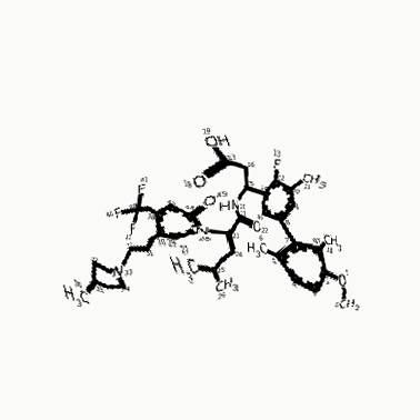 COc1ccc(C)c(-c2cc(C)c(F)c(C(CC(=O)O)NC(=O)C(CC(C)C)n3cc(CCN4CC(C)C4)c(C(F)(F)F)cc3=O)c2)c1C